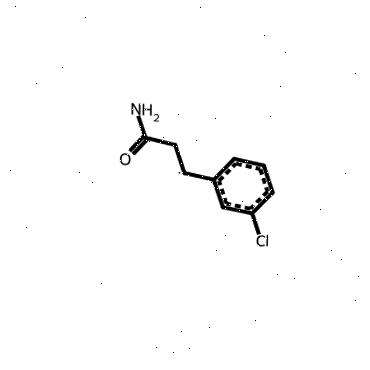 NC(=O)C[CH]c1cccc(Cl)c1